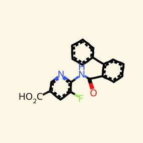 O=C(O)c1cnc(NC(=O)c2ccccc2-c2ccccc2)c(F)c1